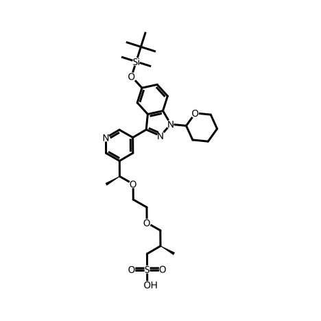 C[C@H](COCCO[C@@H](C)c1cncc(-c2nn(C3CCCCO3)c3ccc(O[Si](C)(C)C(C)(C)C)cc23)c1)CS(=O)(=O)O